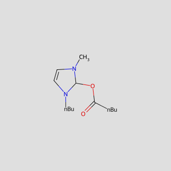 CCCCC(=O)OC1N(C)C=CN1CCCC